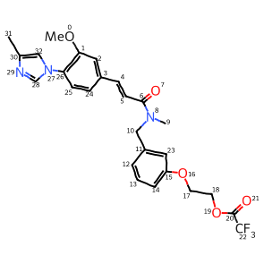 COc1cc(/C=C/C(=O)N(C)Cc2cccc(OCCOC(=O)C(F)(F)F)c2)ccc1-n1cnc(C)c1